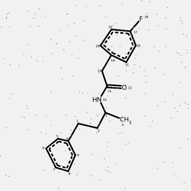 CC(CCc1ccccc1)NC(=O)Cc1ccc(F)cc1